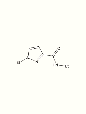 CCNC(=O)c1ccn(CC)n1